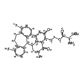 CCC(C)C(N)C(=O)OCOc1c2n(ncc1=O)C(C1c3cccc(F)c3CCc3c(F)cccc31)CN(C(C)C)C2=O